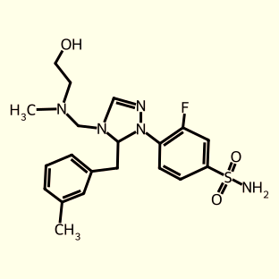 Cc1cccc(CC2N(CN(C)CCO)C=NN2c2ccc(S(N)(=O)=O)cc2F)c1